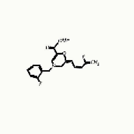 C=C(F)/C=C\C=C1/CN(Cc2ccccc2F)C=C(C(=O)OC)O1